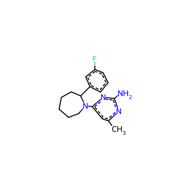 Cc1cc(N2CCCCCC2c2cccc(F)c2)nc(N)n1